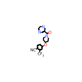 N#Cc1ccc(OC2CCN(C(=O)C3=CN=CCN=C3)CC2)cc1C(F)(F)F